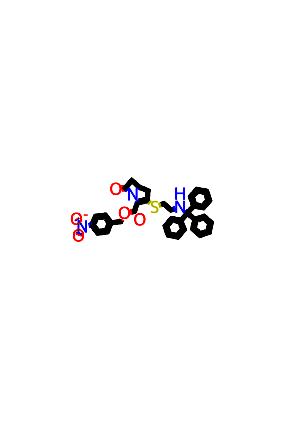 O=C(OCc1ccc([N+](=O)[O-])cc1)C1=C(SCCNC(c2ccccc2)(c2ccccc2)c2ccccc2)CC2CC(=O)N12